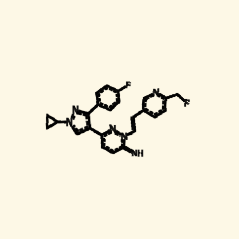 N=c1ccc(-c2cn(C3CC3)nc2-c2ccc(F)cc2)nn1/C=C/c1ccc(CF)nc1